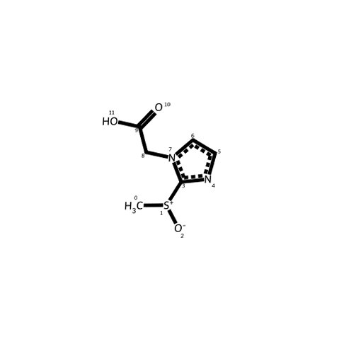 C[S+]([O-])c1nccn1CC(=O)O